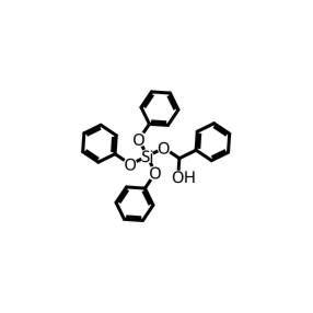 OC(O[Si](Oc1ccccc1)(Oc1ccccc1)Oc1ccccc1)c1ccccc1